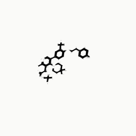 Cc1ncc(-c2ccc(OCCc3ccc(F)cc3)c(C(F)(F)F)c2)c(N2CCC(C)(C)CC2)c1C(OC(C)(C)C)C(=O)O